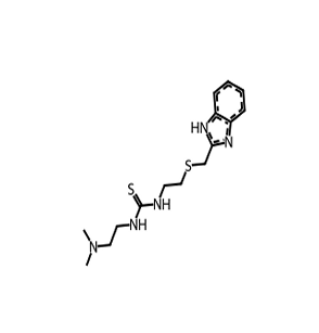 CN(C)CCNC(=S)NCCSCc1nc2ccccc2[nH]1